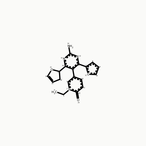 CCn1cc(-c2c(-c3ccco3)nc(N)nc2C2CC=CO2)ccc1=O